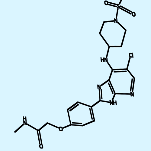 CNC(=O)COc1ccc(-c2nc3c(NC4CCN(S(C)(=O)=O)CC4)c(Cl)cnc3[nH]2)cc1